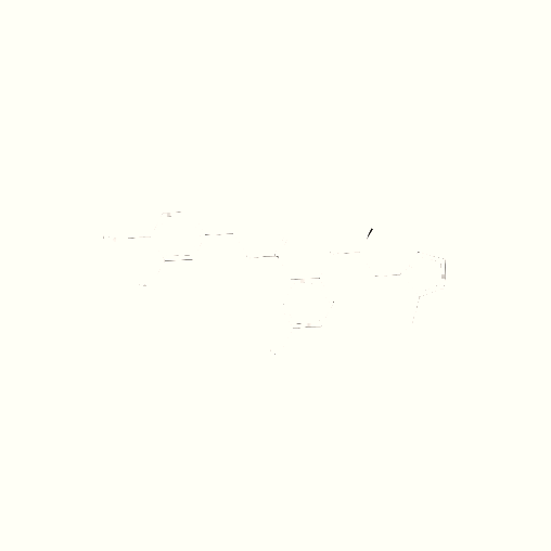 COc1ccc(CNC(=O)c2cc(C#N)ccc2N[C@@H](C)Cn2ccnc2C)cc1OC.Cl